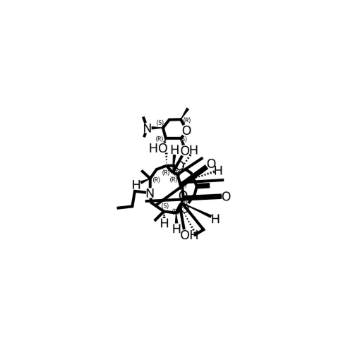 C=C1CO[C@@H]2[C@@H](C)CN(CCC)[C@H](C)C[C@@](C)(OC1)[C@H](O[C@@H]1O[C@H](C)C[C@H](N(C)C)[C@H]1O)[C@@H](C)C(=O)[C@@H](C)C(=O)O[C@H](CC)[C@@]2(C)O